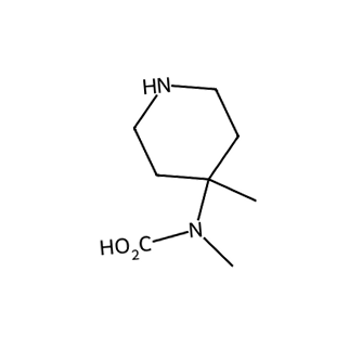 CN(C(=O)O)C1(C)CCNCC1